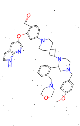 COc1ccc(CN2CCN(C3CC4(CCN(c5ccc(C=O)c(Oc6cnc7[nH]ccc7c6)c5)CC4)C3)C(c3ccccc3CN3CCOCC3)C2)cc1